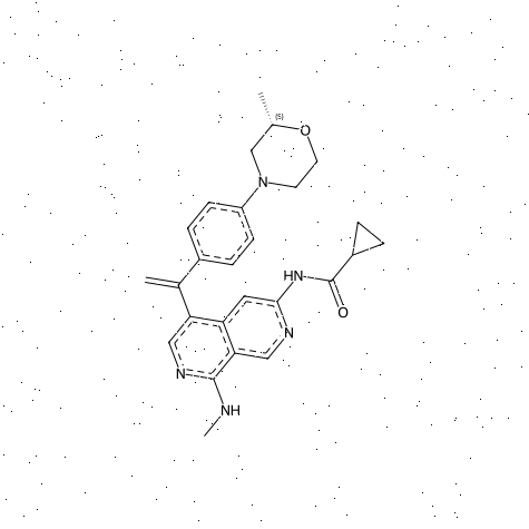 C=C(c1ccc(N2CCO[C@@H](C)C2)cc1)c1cnc(NC)c2cnc(NC(=O)C3CC3)cc12